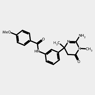 COc1ccc(C(=O)Nc2cccc(C3(C)CC(=O)N(C)C(N)=N3)c2)cc1